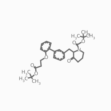 CC(C)(C)OC(=O)CCOc1ccccc1-c1cccc(CC2C(=O)CCCN2C(=O)OC(C)(C)C)c1